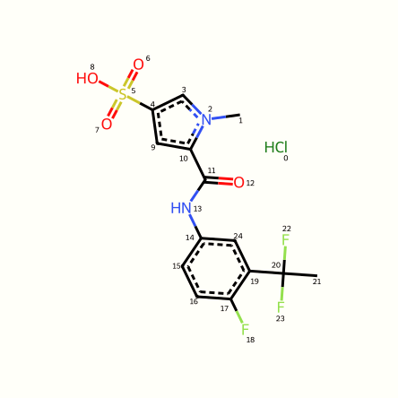 Cl.Cn1cc(S(=O)(=O)O)cc1C(=O)Nc1ccc(F)c(C(C)(F)F)c1